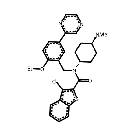 CCOc1ccc(-c2cnccn2)cc1CN(C(=O)c1sc2ccccc2c1Cl)[C@H]1CC[C@H](NC)CC1